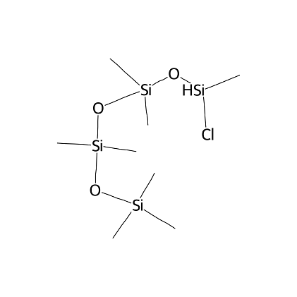 C[SiH](Cl)O[Si](C)(C)O[Si](C)(C)O[Si](C)(C)C